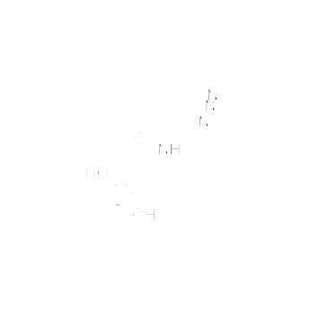 [N-]=[N+]=NCCCNC(=O)CCc1cc(O)ccc1O